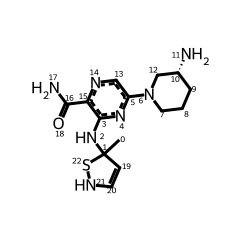 CC1(Nc2nc(N3CCC[C@@H](N)C3)cnc2C(N)=O)C=CNS1